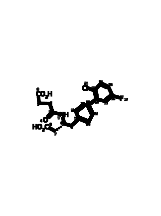 O=C(O)CCC(=O)N[C@@H](CC(=O)O)Cc1ccc(-c2cc(F)ccc2Cl)cc1